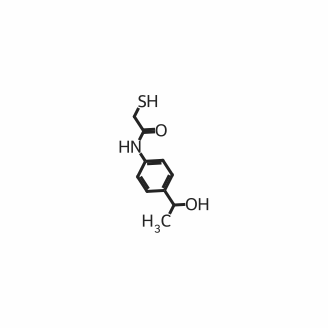 CC(O)c1ccc(NC(=O)CS)cc1